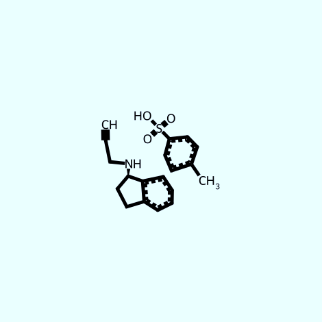 C#CCN[C@@H]1CCc2ccccc21.Cc1ccc(S(=O)(=O)O)cc1